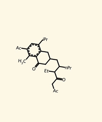 CCCC(CC1CC(=O)c2c(C)c(C(C)=O)cc(C(C)C)c2C1)C(CC)C(=O)CC(C)=O